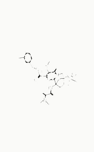 COc1c(C(=O)NCc2ccc(F)c(C)c2)nc2n(c1=O)CC1(NS(C)(=O)=O)CCC2(NC(=O)C(=O)N(C)C)CC1